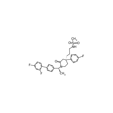 C[C@@H](c1ccc(-c2ccc(F)cc2F)cc1)N1CC[C@](CCCNS(C)(=O)=O)(c2ccc(F)cc2)CC1=O